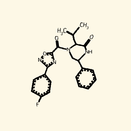 CC(C)C1C(=O)NC(c2ccccc2)CN1C(=O)c1nc(-c2ccc(F)cc2)no1